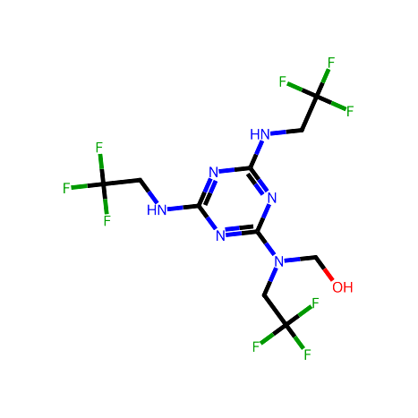 OCN(CC(F)(F)F)c1nc(NCC(F)(F)F)nc(NCC(F)(F)F)n1